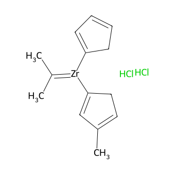 CC1=CC[C]([Zr]([C]2=CC=CC2)=[C](C)C)=C1.Cl.Cl